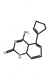 NC1=NC(=O)NC2C=CC=C(C3=CCCC3)C12